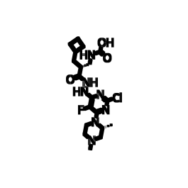 C[C@@H]1CN(C)CCN1c1nc(Cl)nc(NNC(=O)[C@@H](CNC(=O)O)CC2CCC2)c1F